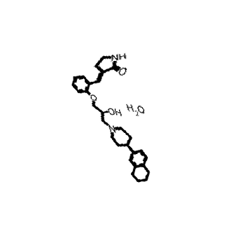 O.O=C1NCCC1=Cc1ccccc1OC[C@@H](O)CN1CCC(c2ccc3c(c2)CCCC3)CC1